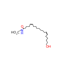 O=C(O)CNC(=O)CCC/C=C\CCCCCCC/C=C\CCCCCO